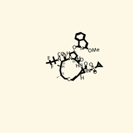 COc1cc2ccccc2c(O[C@@H]2C[C@H]3C(=O)N[C@]4(C(=O)NS(=O)(=O)C5CC5)C[C@H]4C=CCC[C@H](C)C[C@@H](C)[C@H](N(C(=O)O)C(C)(C)C(C)(F)F)C(=O)N3C2)n1